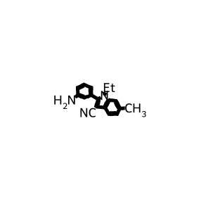 CCn1c(-c2cccc(N)c2)c(C#N)c2ccc(C)cc21